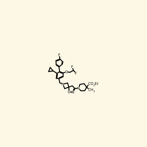 CCOC(=O)C1(C)CCN(C2=NOC3(C2)CN(Cc2cc(OCC(F)F)c(-c4ccc(F)cc4)c(C4CC4)c2)C3)CC1